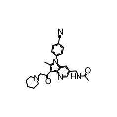 CC(=O)NCc1cnc2c(C(=O)CN3CCCCC3)c(C)n(-c3ccc(C#N)cc3)c2c1